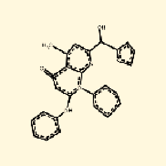 Cc1cc(C(O)c2cccs2)nc2c1c(=O)cc(Nc1ccccc1)n2-c1ccccc1